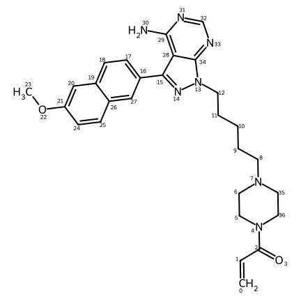 C=CC(=O)N1CCN(CCCCCn2nc(-c3ccc4cc(OC)ccc4c3)c3c(N)ncnc32)CC1